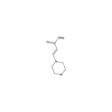 COC(=O)/C=C/N1CC[N]CC1